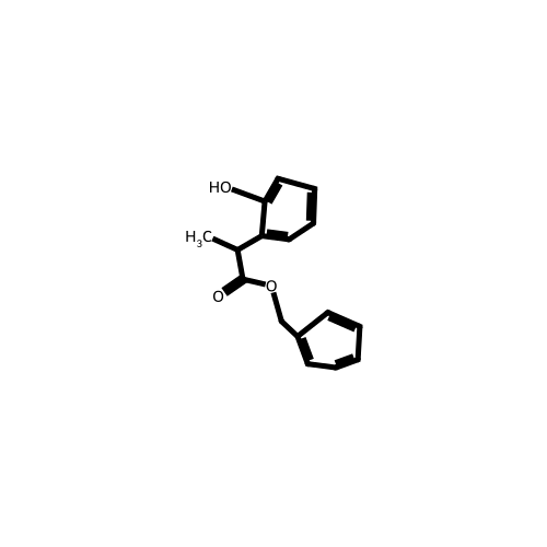 CC(C(=O)OCc1ccccc1)c1ccccc1O